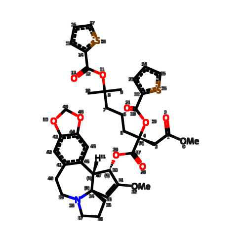 COC(=O)C[C@@](CCCC(C)(C)OC(=O)c1cccs1)(OC(=O)c1cccs1)C(=O)O[C@@H]1C(OC)=C[C@]23CCCN2CCc2cc4c(cc2[C@H]13)OCO4